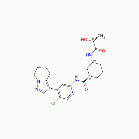 C[C@H](O)C(=O)N[C@@H]1CCC[C@@H](C(=O)Nc2cc(-c3cnn4c3CCCC4)c(Cl)cn2)C1